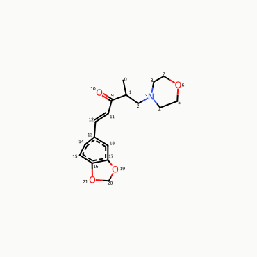 CC(CN1CCOCC1)C(=O)C=Cc1ccc2c(c1)OCO2